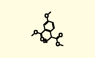 COC(=O)c1cc(OC)ccc1C(Br)C(=O)OC